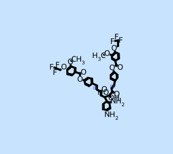 COc1cc(C(=O)Oc2ccc(/C=C/C(=O)CC(c3ccc(N)cc3N)C(O)(O)C(=O)/C=C/c3ccc(OC(=O)c4ccc(OCC(F)(F)F)c(OC)c4)cc3)cc2)ccc1OCC(F)(F)F